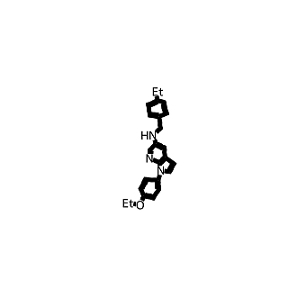 CCOc1ccc(-n2ccc3cc(NCc4ccc(CC)cc4)cnc32)cc1